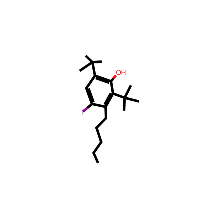 CCCCCc1c(I)cc(C(C)(C)C)c(O)c1C(C)(C)C